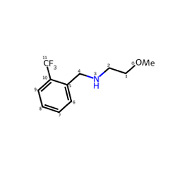 COCCNCc1ccccc1C(F)(F)F